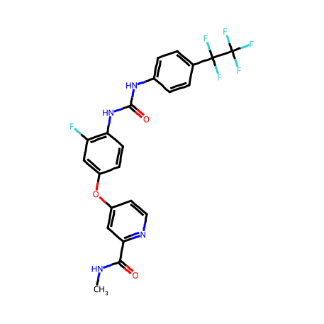 CNC(=O)c1cc(Oc2ccc(NC(=O)Nc3ccc(C(F)(F)C(F)(F)F)cc3)c(F)c2)ccn1